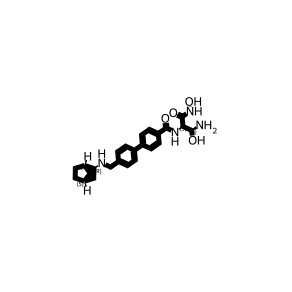 N[C@@H](O)[C@H](NC(=O)c1ccc(-c2ccc(CN[C@@H]3C[C@H]4CC[C@@H]3C4)cc2)cc1)C(=O)NO